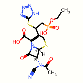 CCOP(=O)(O)CC(Sc1nnn[nH]1)C1=C(C(=O)O)N2C(=O)[C@@H](N(C#N)C(C)=O)[C@@H]2SC1